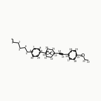 CCCCCCc1ccc(C23CCC(C#Cc4ccc(OCC)cc4)(CC2)CC3)cc1